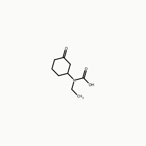 CCN(C(=O)O)C1CCCC(=O)C1